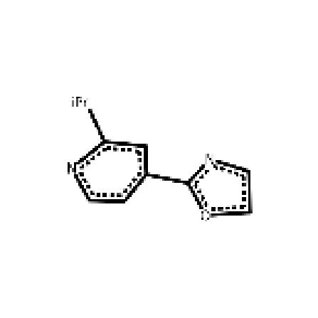 CC(C)c1cc(-c2ncco2)ccn1